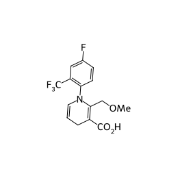 COCC1=C(C(=O)O)CC=CN1c1ccc(F)cc1C(F)(F)F